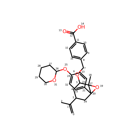 C=C(C)C1CC(OCc2ccc(C(=O)O)cc2)C2(C)OC2(c2ccc(OC3CCCCO3)cc2)C1